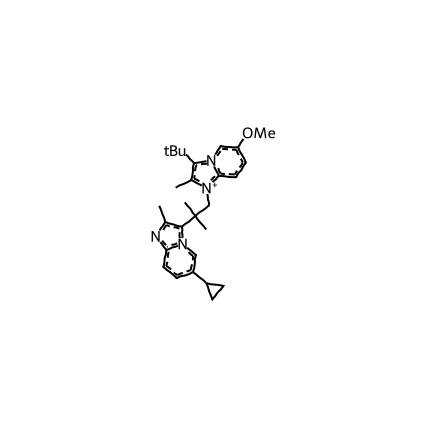 COc1ccc2n(c1)c(C(C)(C)C)c(C)[n+]2CC(C)(C)c1c(C)nc2ccc(C3CC3)cn12